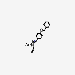 C#CCN(/N=C/c1ccc(OCc2ccccc2)cc1)C(C)=O